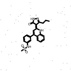 CCCC1=NNC(=O)C1=C1C=C(c2cccc(NS(C)(=O)=O)c2)c2ccccc2N1